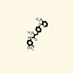 Cc1ccc(NC(=O)C(N)Cc2ccc(Oc3ncccc3[N+](=O)[O-])cc2)cc1F